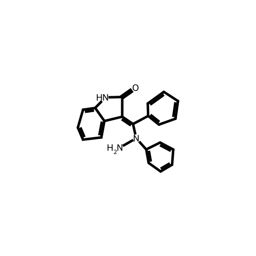 NN(C(=C1C(=O)Nc2ccccc21)c1ccccc1)c1ccccc1